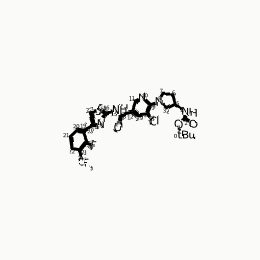 CC(C)(C)OC(=O)NC1CCN(c2ncc(C(=O)Nc3nc(-c4cccc(C(F)(F)F)c4F)cs3)cc2Cl)C1